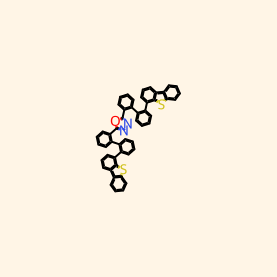 c1ccc(-c2ccccc2-c2cccc3c2sc2ccccc23)c(-c2nnc(-c3ccccc3-c3ccccc3-c3cccc4c3sc3ccccc34)o2)c1